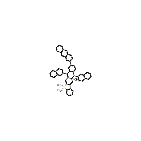 CC12C=C3C(=CC1=C(c1ccc4ccccc4c1)c1cc(-c4ccc5cc6ccccc6cc5c4)ccc1C2c1ccc2ccccc2c1)S(C)(C)c1ccccc13